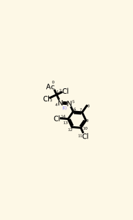 CC(=O)C(Cl)(Cl)/N=N/c1c(C)cc(Cl)cc1Cl